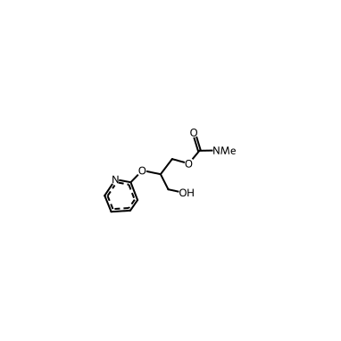 CNC(=O)OCC(CO)Oc1ccccn1